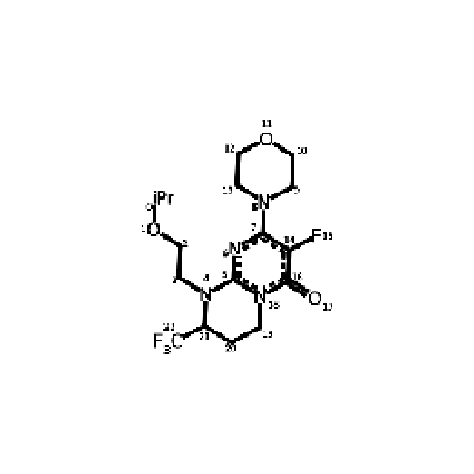 CC(C)OCCN1c2nc(N3CCOCC3)c(F)c(=O)n2CCC1C(F)(F)F